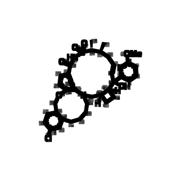 COc1cccc([C@@]2(O)/C=C/C[C@H](C)[C@@H](C)S(=O)(=O)NC(=O)c3ccc4c(c3)N(CCCCc3cc(Cl)ccc3CO4)C[C@@H]3CC[C@H]32)n1